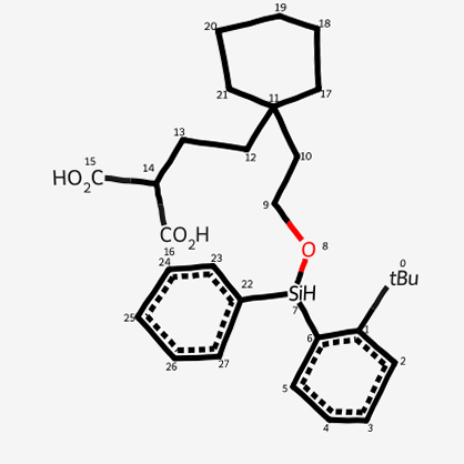 CC(C)(C)c1ccccc1[SiH](OCCC1(CCC(C(=O)O)C(=O)O)CCCCC1)c1ccccc1